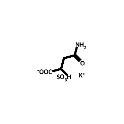 NC(=O)CC(C(=O)[O-])S(=O)(=O)O.[K+]